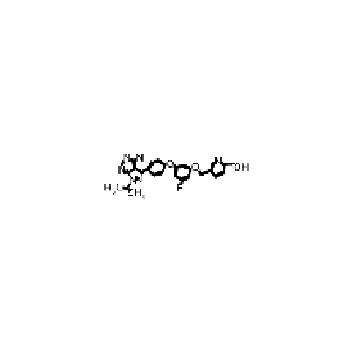 CC(C)n1nc(-c2ccc(Oc3cc(F)cc(OCc4ccc(CO)nc4)c3)cc2)c2c(N)ncnc21